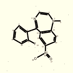 CN1C=CN=C(c2ccccc2F)c2cc([N+](=O)[O-])ccc21